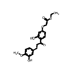 CCOC(=O)COc1ccc(C(=O)CCc2ccc(OC)c(O)c2)c(O)c1